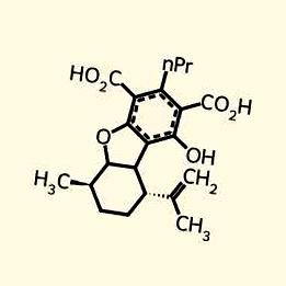 C=C(C)[C@@H]1CC[C@@H](C)C2Oc3c(C(=O)O)c(CCC)c(C(=O)O)c(O)c3C21